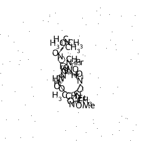 CCn1c(-c2cccnc2[C@H](C)OC)c2c3cc(ccc31)N1CCO[C@@H](C[C@H](NC(=O)C(C(C)C)N(C)C(=O)C3(F)CCN(C(=O)C#CC(C)(C)N(C)C)CC3)C(=O)N3CCC[C@H](N3)C(=O)OCC(C)(C)C2)C1